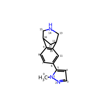 Cn1nccc1-c1ccc2c(c1)C1CNCC2C1